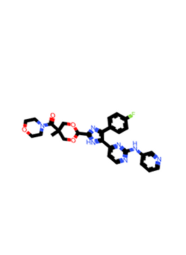 CC1(C(=O)N2CCOCC2)COC(c2nc(-c3ccc(F)cc3)c(-c3ccnc(Nc4cccnc4)n3)[nH]2)OC1